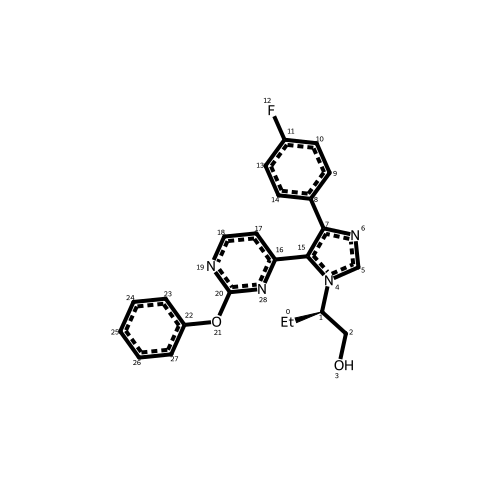 CC[C@H](CO)n1cnc(-c2ccc(F)cc2)c1-c1ccnc(Oc2ccccc2)n1